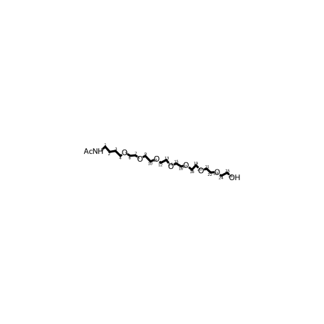 CC(=O)NCCCCOCCOCCOCCOCCOCCOCCOCCO